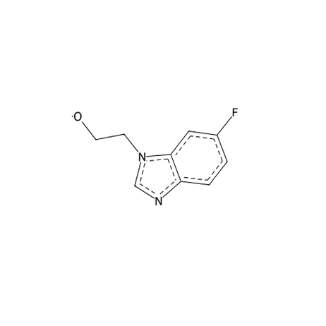 [O]CCn1cnc2ccc(F)cc21